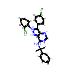 CC(C)(Nc1ncnc2c(-c3ccc(Cl)cc3)n(-c3ccccc3Cl)nc12)c1ccccc1